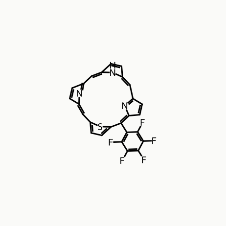 Fc1c(F)c(F)c(-c2c3nc(cc4ccc(cc5nc(cc6ccc2s6)C=C5)[nH]4)C=C3)c(F)c1F